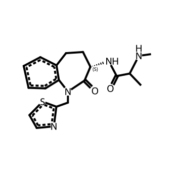 CNC(C)C(=O)N[C@H]1CCc2ccccc2N(Cc2nccs2)C1=O